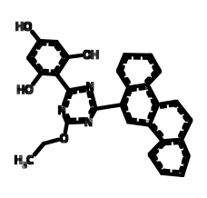 CCOc1nc(-c2c(O)cc(O)cc2O)nc(-c2cc3c4ccccc4ccc3c3ccccc23)n1